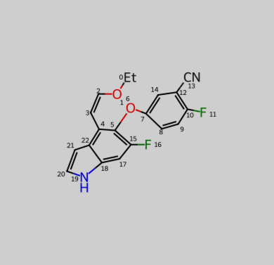 CCO/C=C\c1c(Oc2ccc(F)c(C#N)c2)c(F)cc2[nH]ccc12